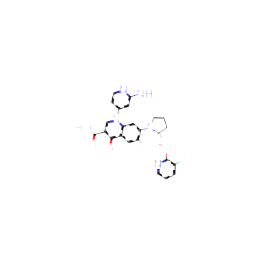 Nc1cc(-n2cc(C(=O)O)c(=O)c3cc(Cl)c(N4CCC[C@@H]4COc4ncccc4Cl)cc32)ccn1